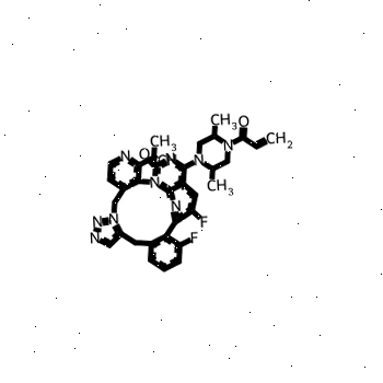 C=CC(=O)N1CC(C)N(c2nc(=O)n3c4nc(c(F)cc24)-c2c(F)cccc2Cc2cnnn2Cc2ccnc(C(C)C)c2-3)CC1C